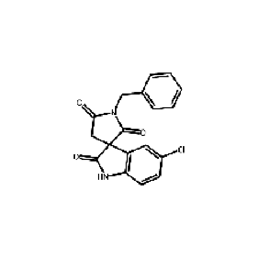 O=C1CC2(C(=O)Nc3ccc(Cl)cc32)C(=O)N1Cc1ccccc1